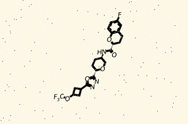 O=C(N[C@@H]1CC[C@@H](c2nnc(C3CC(OC(F)(F)F)C3)o2)OC1)[C@H]1CCc2cc(F)ccc2O1